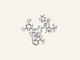 COc1cc(OC)nc(NC(=O)NS(=O)(=O)c2ncccc2C(=O)N(C)C)n1.Cn1nc(C(F)(F)F)c(CS(=O)(=O)C2=NOC(C)(C)C2)c1OC(F)F